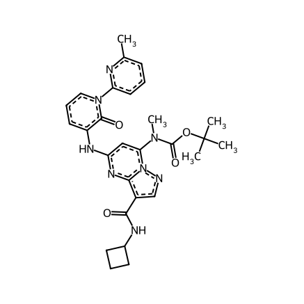 Cc1cccc(-n2cccc(Nc3cc(N(C)C(=O)OC(C)(C)C)n4ncc(C(=O)NC5CCC5)c4n3)c2=O)n1